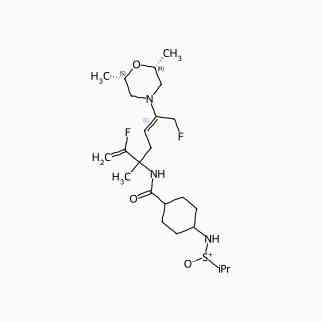 C=C(F)C(C)(C/C=C(\CF)N1C[C@@H](C)O[C@@H](C)C1)NC(=O)C1CCC(N[S+]([O-])C(C)C)CC1